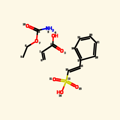 C=CC(=O)O.CCOC(N)=O.O=S(=O)(O)C=Cc1ccccc1